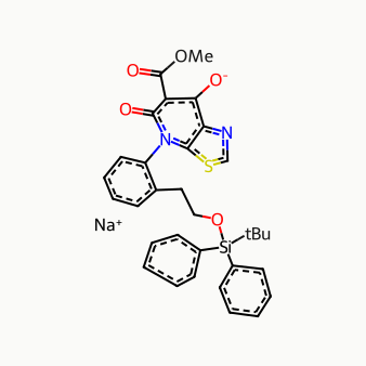 COC(=O)c1c([O-])c2ncsc2n(-c2ccccc2CCO[Si](c2ccccc2)(c2ccccc2)C(C)(C)C)c1=O.[Na+]